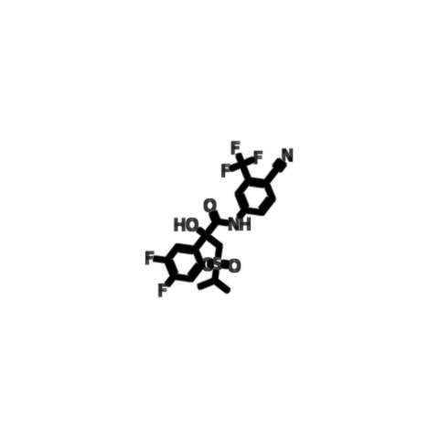 CC(C)S(=O)(=O)CC(O)(C(=O)Nc1ccc(C#N)c(C(F)(F)F)c1)c1ccc(F)c(F)c1